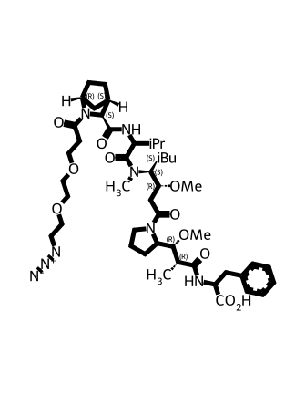 CC[C@H](C)[C@@H]([C@@H](CC(=O)N1CCCC1[C@H](OC)[C@@H](C)C(=O)NC(Cc1ccccc1)C(=O)O)OC)N(C)C(=O)C(NC(=O)[C@@H]1[C@H]2CC[C@H](C2)N1C(=O)CCOCCOCCN=[N+]=[N-])C(C)C